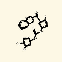 O=C(Nc1ccc(C(F)(F)F)c(Cl)c1)Nc1ccc(F)c(C(=O)c2ccc3nccnc3c2)c1